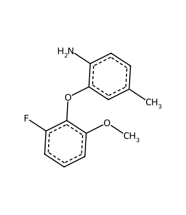 COc1cccc(F)c1Oc1cc(C)ccc1N